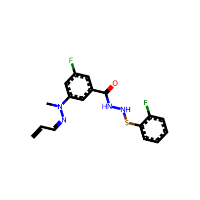 C=C/C=N\N(C)c1cc(F)cc(C(=O)NNSc2ccccc2F)c1